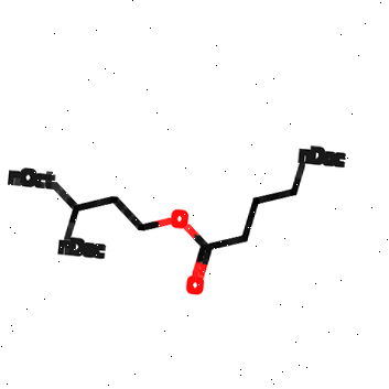 CCCCCCCCCCCCCC(=O)OCCC(CCCCCCCC)CCCCCCCCCC